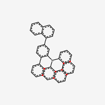 c1ccc(-c2ccccc2N(c2ccccc2-c2ccccc2)c2cc(-c3cccc4ccccc34)ccc2-c2ccccc2)cc1